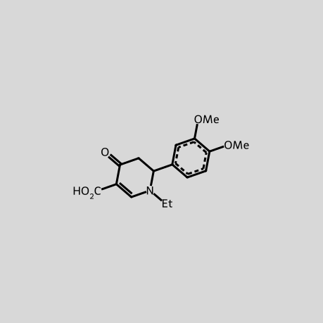 CCN1C=C(C(=O)O)C(=O)CC1c1ccc(OC)c(OC)c1